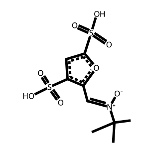 CC(C)(C)[N+]([O-])=Cc1oc(S(=O)(=O)O)cc1S(=O)(=O)O